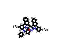 CC(C)(C)c1ccc2c(c1)c1cc3ccccc3c3c4c5c6cc7ccccc7c7c8cc(C(C)(C)C)cc(N(c9ccccc9)c9ccccc9)c8n(c5cnc4n2c13)c67